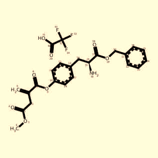 C=C(CC(=O)OC)C(=O)Oc1ccc(C[C@H](N)C(=O)OCc2ccccc2)cc1.O=C(O)C(F)(F)F